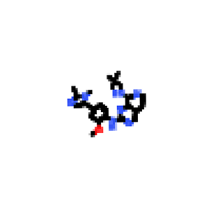 COc1cc(-c2cnc(C)n2C)ccc1Nc1ncc2ccnc(NCC(C)(C)C)c2n1